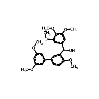 COc1cc(OC)cc(-c2ccc(OC)c(C(O)c3cc(OC)c(OC)c(OC)c3)c2)c1